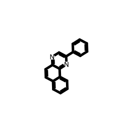 c1ccc(-c2cnc3ccc4ccccc4c3n2)cc1